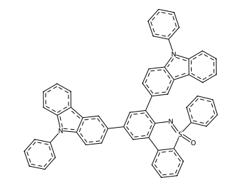 O=S1(c2ccccc2)=Nc2c(-c3ccc4c(c3)c3ccccc3n4-c3ccccc3)cc(-c3ccc4c(c3)c3ccccc3n4-c3ccccc3)cc2-c2ccccc21